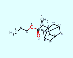 C=C(C(=O)OCCC)C12CC3CC(CC(C3)C1)C2